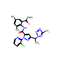 CNC(=O)c1cc(C#N)cc(C)c1NC(=O)c1cc(C(C)n2nnc(C(F)(F)F)n2)nn1-c1ncccc1Cl